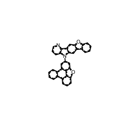 c1ccc2c(c1)oc1cc3c4ncccc4n(-c4cc5oc6cccc7c8ccccc8c(c4)c5c67)c3cc12